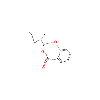 CCC(C)C1OC(=O)c2ccccc2O1